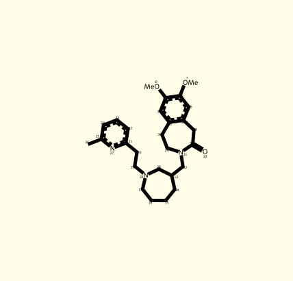 COc1cc2c(cc1OC)CC(=O)N(CC1CCCCN(CCc3cccc(C)n3)C1)CC2